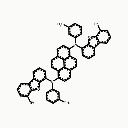 Cc1cccc(N(c2ccc3ccc4c(N(c5cccc(C)c5)c5cccc6c5oc5c(C(C)C)cccc56)ccc5ccc2c3c54)c2cccc3c2oc2c(C(C)C)cccc23)c1